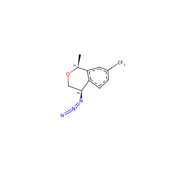 C[C@@H]1OC[C@H](N=[N+]=[N-])c2ccc(C(F)(F)F)cc21